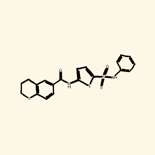 O=C(Nc1ccc(S(=O)(=O)Nc2ccccc2)s1)c1ccc2c(c1)CCCS2